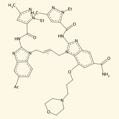 CCn1nc(C)cc1C(=O)Nc1nc2cc(C(C)=O)ccc2n1C/C=C/Cn1c(NC(=O)c2cc(C)nn2CC)nc2cc(C(N)=O)cc(OCCCN3CCOCC3)c21